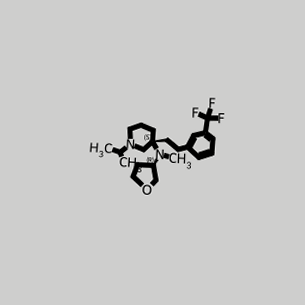 CC(C)N1CCC[C@](CCc2cccc(C(F)(F)F)c2)(N(C)[C@@H]2CCOC2)C1